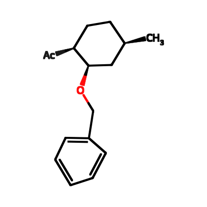 CC(=O)[C@H]1CC[C@@H](C)C[C@H]1OCc1ccccc1